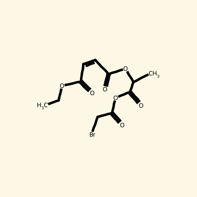 CCOC(=O)/C=C\C(=O)OC(C)C(=O)OC(=O)CBr